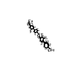 CCOc1ccc(-c2ccc(COc3ccc(-c4ccc(CO)cc4)c(F)c3F)cc2)c(F)c1